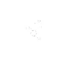 COOC(C)c1cc(N)ccc1N